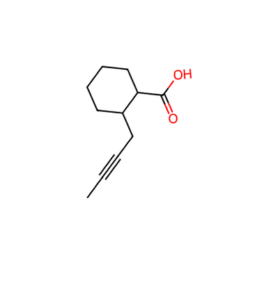 CC#CCC1CCCCC1C(=O)O